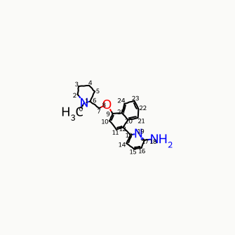 CN1CCCCC1COc1ccc(-c2cccc(N)n2)c2ccccc12